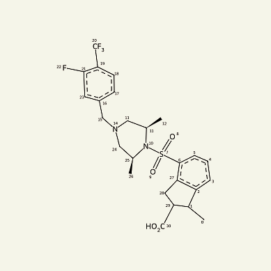 CC1c2cccc(S(=O)(=O)N3[C@H](C)CN(Cc4ccc(C(F)(F)F)c(F)c4)C[C@@H]3C)c2CC1C(=O)O